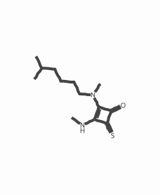 CNc1c(N(C)CCCCC(C)C)c(=O)c1=S